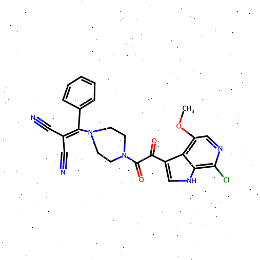 COc1cnc(Cl)c2[nH]cc(C(=O)C(=O)N3CCN(C(=C(C#N)C#N)c4ccccc4)CC3)c12